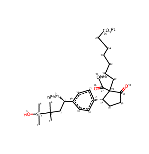 CCCCC[C@H](CC(C)(C)[Si](C)(C)O)c1ccc([C@H]2CCC(=O)C2(CCCCCCC(=O)OCC)C(=O)OC)cc1